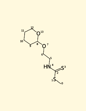 CSC(=S)NCCOC1CCCCO1